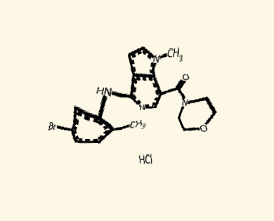 Cc1ccc(Br)cc1Nc1ncc(C(=O)N2CCOCC2)c2c1ccn2C.Cl